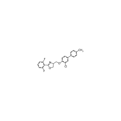 Cc1ccc(-c2ccc(OCC3COC(c4c(F)cccc4F)=N3)c(Cl)c2)cc1